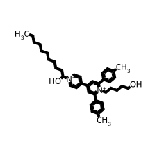 CCCCCCCCCCC(O)[n+]1ccc(-c2cc(-c3ccc(C)cc3)[n+](CCCCCO)c(-c3ccc(C)cc3)c2)cc1